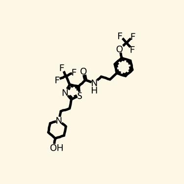 O=C(NCCc1cccc(OC(F)(F)F)c1)c1sc(CCN2CCC(O)CC2)nc1C(F)(F)F